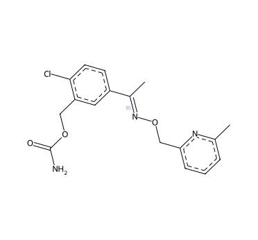 C/C(=N\OCc1cccc(C)n1)c1ccc(Cl)c(COC(N)=O)c1